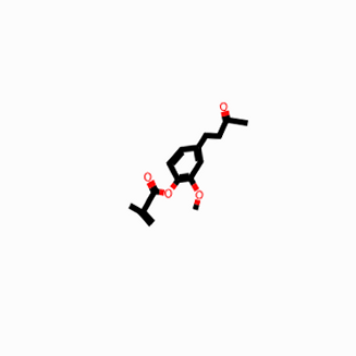 C=C(C)C(=O)Oc1ccc(CCC(C)=O)cc1OC